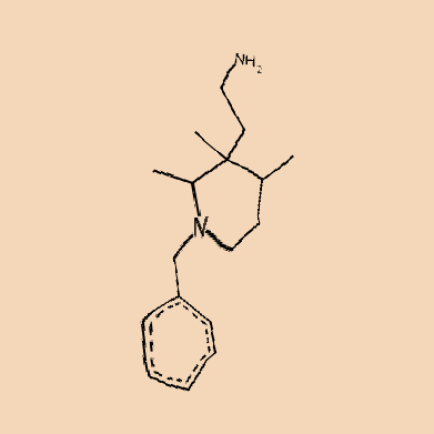 CC1CCN(Cc2ccccc2)C(C)C1(C)CCN